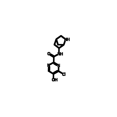 O=C(NC1CC2CNC1C2)c1ncc(O)c(Cl)n1